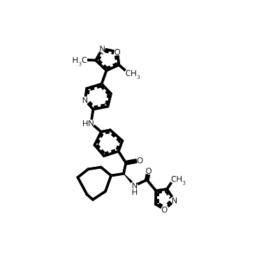 Cc1nocc1C(=O)N[C@H](C(=O)c1ccc(Nc2ccc(-c3c(C)noc3C)cn2)cc1)C1CCCCCC1